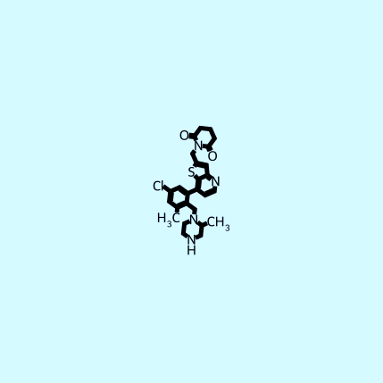 Cc1cc(Cl)cc(-c2ccnc3cc(CN4C(=O)CCCC4=O)sc23)c1CN1CCNCC1C